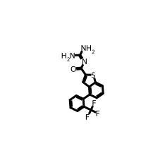 NC(N)=NC(=O)c1cc2c(-c3ccccc3C(F)(F)F)cccc2s1